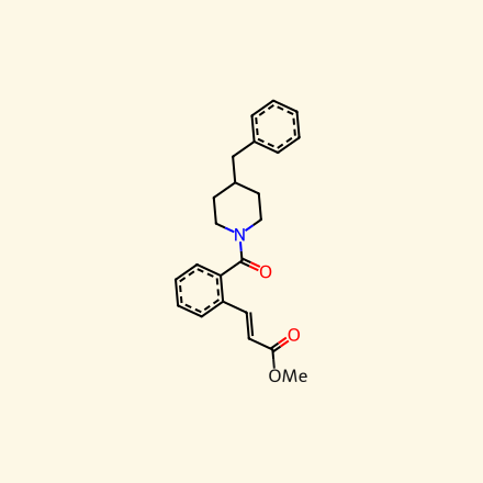 COC(=O)C=Cc1ccccc1C(=O)N1CCC(Cc2ccccc2)CC1